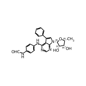 C[C@H]1O[C@@H](n2cc(-c3ccccc3)c3c(Nc4ccc(NC=O)cc4)ncnc32)[C@@H](O)[C@H]1O